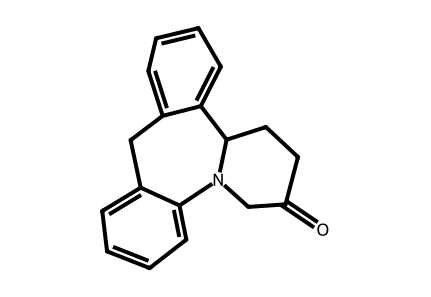 O=C1CCC2c3ccccc3Cc3ccccc3N2C1